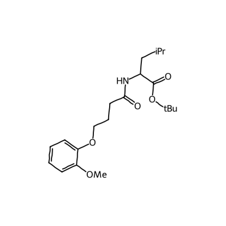 COc1ccccc1OCCCC(=O)NC(CC(C)C)C(=O)OC(C)(C)C